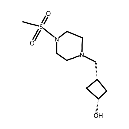 CS(=O)(=O)N1CCN(C[C@H]2C[C@@H](O)C2)CC1